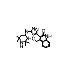 CN(c1nnc(-c2c(CO)c3ccccc3[nH]c2=O)s1)C1CC(C)(C)NC(C)(C)C1